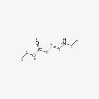 CCNC=C[C]C(=O)OCC